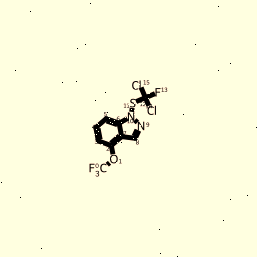 FC(F)(F)Oc1cccc2c1cnn2SC(F)(Cl)Cl